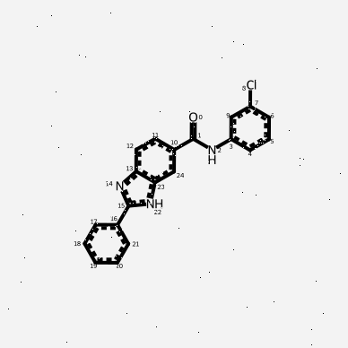 O=C(Nc1cccc(Cl)c1)c1ccc2nc(-c3ccccc3)[nH]c2c1